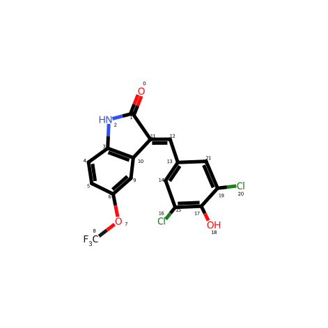 O=C1Nc2ccc(OC(F)(F)F)cc2C1=Cc1cc(Cl)c(O)c(Cl)c1